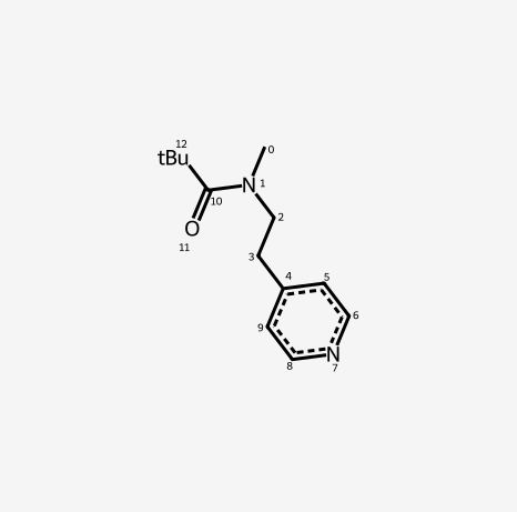 CN(CCc1ccncc1)C(=O)C(C)(C)C